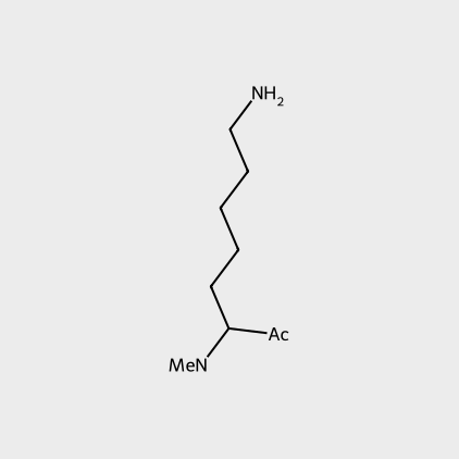 CNC(CCCCCN)C(C)=O